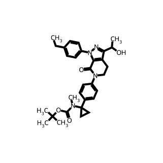 CCc1ccc(-n2nc(C(C)O)c3c2C(=O)N(c2ccc(C4(N(C)C(=O)OC(C)(C)C)CC4)cc2)CC3)cc1